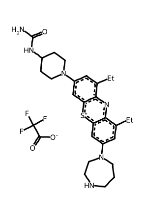 CCc1cc(N2CCCNCC2)cc2[s+]c3cc(N4CCC(NC(N)=O)CC4)cc(CC)c3nc12.O=C([O-])C(F)(F)F